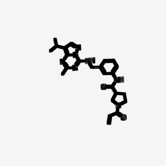 C=CC(=O)N1CCC(C(=O)Nc2cccc(CNc3nc(C)nc4c(C(C)C)cnn34)c2)C1